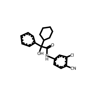 N#Cc1ccc(NC(=O)C(O)(c2ccccc2)C2CCCCC2)cc1Cl